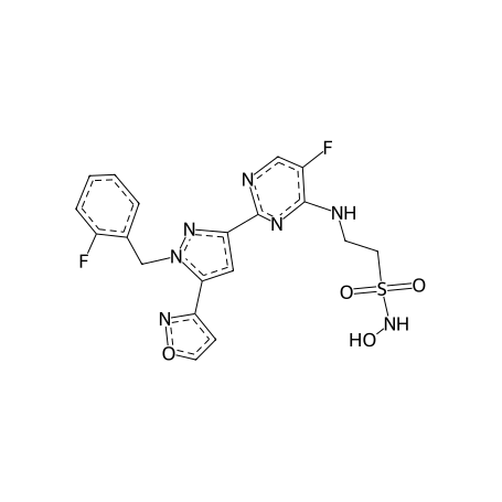 O=S(=O)(CCNc1nc(-c2cc(-c3ccon3)n(Cc3ccccc3F)n2)ncc1F)NO